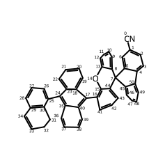 N#Cc1ccc2c(c1)C1(c3ccccc3Oc3c(-c4c5ccccc5c(-c5cccc6c5CCC=C6)c5ccccc45)cccc31)c1ccccc1-2